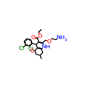 CCOC(=O)C1=C(COCCN)NC2=C(C(=O)CC(C)C2)C1c1cccc(Cl)c1Cl